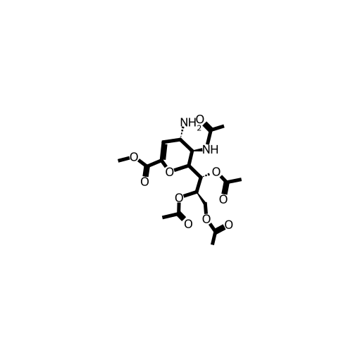 COC(=O)C1=C[C@H](N)[C@@H](NC(C)=O)C([C@H](OC(C)=O)[C@@H](COC(C)=O)OC(C)=O)O1